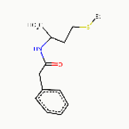 CCSCCC(NC(=O)Cc1ccccc1)C(=O)O